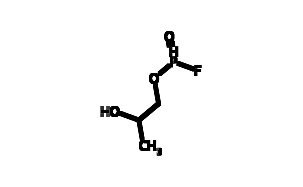 CC(O)CO[PH](=O)F